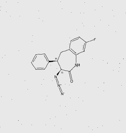 [N-]=[N+]=N[C@@H]1C(=O)Nc2cc(F)ccc2C[C@@H]1c1ccccc1